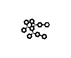 C1=CC(c2ccc(-n3c4ccccc4c4c(N(c5ccccc5)c5ccccc5)cc(N(c5ccccc5)c5ccc(-c6ccccc6)cc5)cc43)cc2)=CCC1